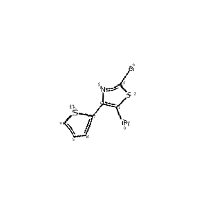 CC(C)c1sc(Br)nc1-c1cccs1